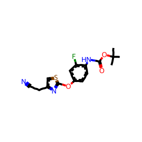 CC(C)(C)OC(=O)Nc1ccc(Oc2nc(CC#N)cs2)cc1F